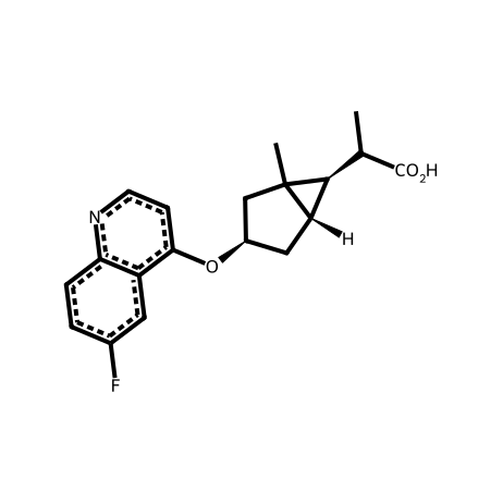 CC(C(=O)O)[C@H]1[C@@H]2C[C@@H](Oc3ccnc4ccc(F)cc34)CC21C